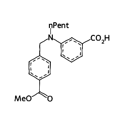 CCCCCN(Cc1ccc(C(=O)OC)cc1)c1cccc(C(=O)O)c1